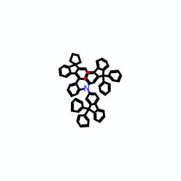 c1ccc(C2(c3ccccc3)c3ccccc3-c3ccc(N(c4ccc5c(c4)C(c4ccccc4)(c4ccccc4)c4ccccc4-5)c4ccccc4-c4cccc5c4-c4ccccc4C54CCCC4)cc32)cc1